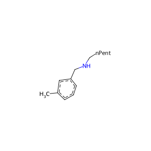 CCCCCCNCc1cccc(C)c1